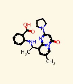 Cc1cc([C@@H](C)Nc2ccccc2C(=O)O)c2nc(N3CCCC3)cc(=O)n2c1